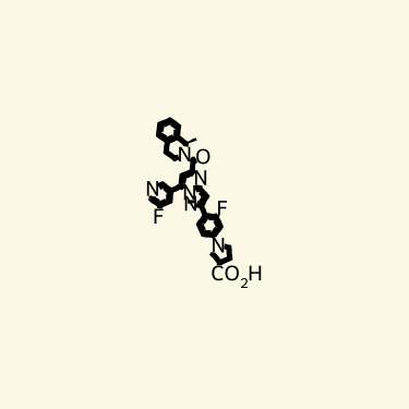 C[C@@H]1c2ccccc2CCN1C(=O)c1cc(-c2cncc(F)c2)n2nc(-c3ccc(N4CCC(C(=O)O)C4)cc3F)cc2n1